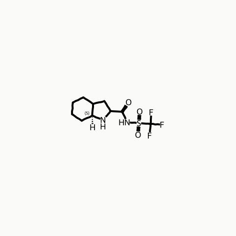 O=C(NS(=O)(=O)C(F)(F)F)C1CC2CCCC[C@@H]2N1